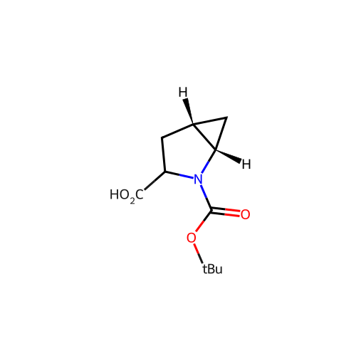 CC(C)(C)OC(=O)N1C(C(=O)O)C[C@@H]2C[C@@H]21